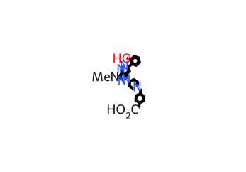 CNc1nn(C2CCN(CC3CCC(CC(=O)O)CC3)CC2)c2cc(-c3ccccc3O)nnc12